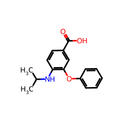 CC(C)Nc1ccc(C(=O)O)cc1Oc1ccccc1